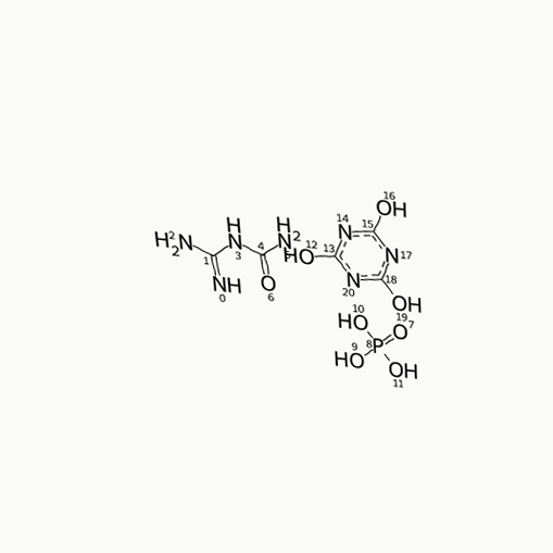 N=C(N)NC(N)=O.O=P(O)(O)O.Oc1nc(O)nc(O)n1